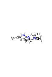 COc1cnc2c(ccn2CC(C)N(C)C)c1